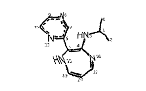 CC(C)NC1=C(c2cnccn2)NC=CC=N1